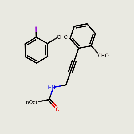 CCCCCCCCC(=O)NCC#Cc1ccccc1C=O.O=Cc1ccccc1I